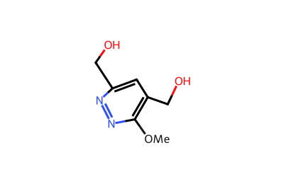 COc1nnc(CO)cc1CO